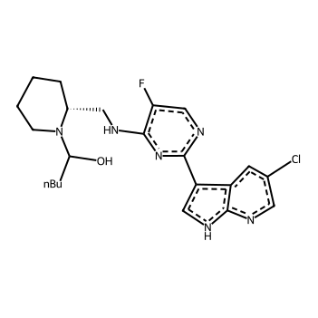 CCCCC(O)N1CCCC[C@@H]1CNc1nc(-c2c[nH]c3ncc(Cl)cc23)ncc1F